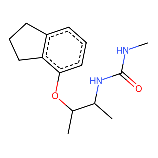 CNC(=O)NC(C)C(C)Oc1cccc2c1CCC2